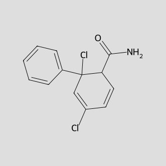 NC(=O)C1C=CC(Cl)=CC1(Cl)c1ccccc1